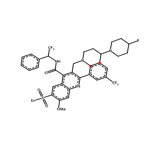 CCS(=O)(=O)c1cc2c(C(=O)NC(c3ccccc3)C(F)(F)F)c(CN3CCC(N4CCC(F)CC4)CC3)c(-c3cccc(C(F)(F)F)c3)nc2cc1OC